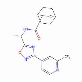 C[C@H](NC(=O)C1CC2CCC1CC2)c1nc(-c2ccnc(C(F)(F)F)c2)no1